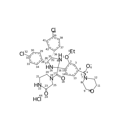 CCOc1cc([S+]([O-])N2CCOCC2)ccc1C1(C(=O)N2CCNC(=O)C2)N[C@H](c2ccc(Cl)cc2)[C@H](c2ccc(Cl)cc2)N1.Cl